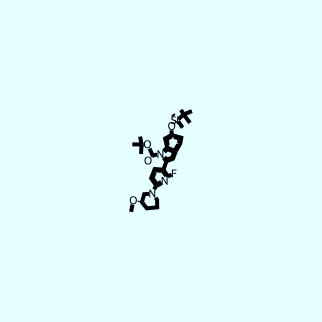 CO[C@H]1CCCN(c2ccc(-c3cc4ccc(O[Si](C)(C)C(C)(C)C)cc4n3C(=O)OC(C)(C)C)c(F)n2)C1